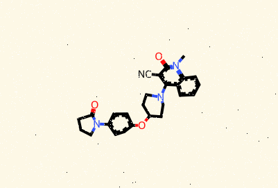 Cn1c(=O)c(C#N)c(N2CCC(Oc3ccc(N4CCCC4=O)cc3)CC2)c2ccccc21